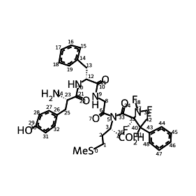 CSCC[C@@H](C(=O)O)N(C(=O)CNC(=O)[C@@H](Cc1ccccc1)NC(=O)[C@@H](N)Cc1ccc(O)cc1)C(=O)[C@@](F)(N(F)F)C(F)(F)c1ccccc1